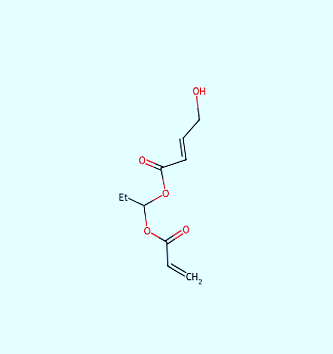 C=CC(=O)OC(CC)OC(=O)C=CCO